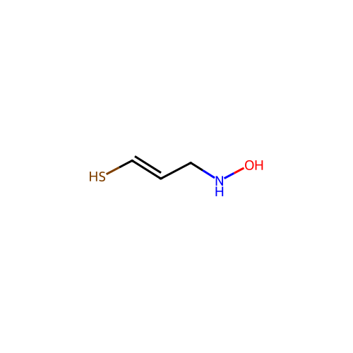 ONCC=CS